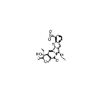 CCOC1c2cc3cccc([N+](=O)[O-])c3nc2-c2cc3c(c(=O)n21)COC(=O)[C@]3(O)CC